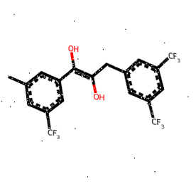 Cc1cc(/C(O)=C(\O)Cc2cc(C(F)(F)F)cc(C(F)(F)F)c2)cc(C(F)(F)F)c1